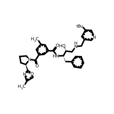 Cc1cc(C(=O)N[C@@H](Cc2ccccc2)[C@H](O)CNCc2cncc(C(C)(C)C)c2)cc(C(=O)N2CCC[C@@H]2c2nc(C)co2)c1